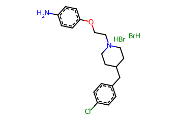 Br.Br.Nc1ccc(OCCN2CCC(Cc3ccc(Cl)cc3)CC2)cc1